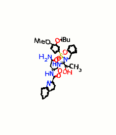 CCC(C)Oc1cc(S(=O)(=O)N(Cc2ccccc2)[C@H](NC(=O)[C@H](CC(N)=O)NC(=O)c2ccc3ccccc3n2)[C@@H](C)O)ccc1OC